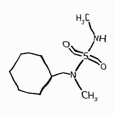 CNS(=O)(=O)N(C)C1CCCCC1